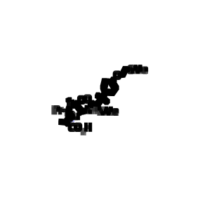 CN[C@H](C(=O)N[C@H](C(=O)N(C)[C@H](/C=C(\C)C(=O)O)C(C)C)C(C)(C)C)C(C)(C)c1ccc(OCCSC)cc1